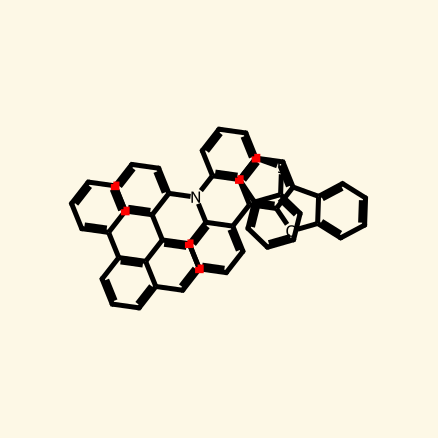 c1ccc(-c2cccc3cccc(-c4ccccc4N(c4ccccc4-c4cccc5c4oc4ccccc45)c4cccc5sc6ccccc6c45)c23)cc1